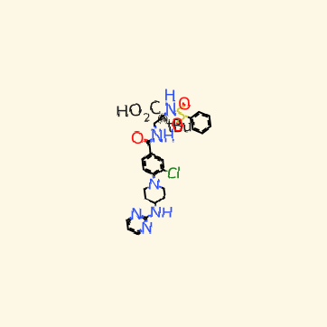 CC(C)(C)[C@](CNC(=O)c1ccc(N2CCC(Nc3ncccn3)CC2)c(Cl)c1)(NS(=O)(=O)c1ccccc1)C(=O)O